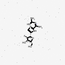 N=C(N)/N=C(/N)c1ncc([C@@H]2O[C@H](CO)[C@@H](O)[C@H]2F)[nH]1